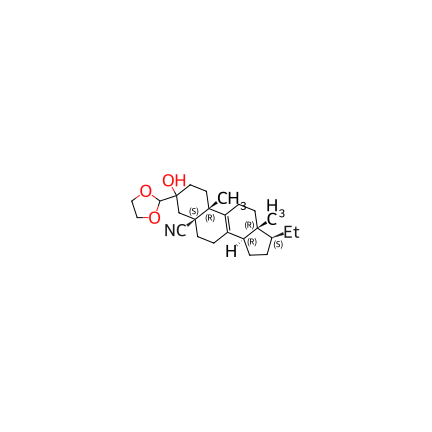 CC[C@H]1CC[C@H]2C3=C(CC[C@]12C)[C@@]1(C)CCC(O)(C2OCCO2)C[C@@]1(C#N)CC3